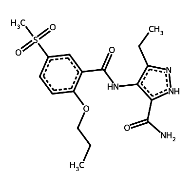 CCCOc1ccc(S(C)(=O)=O)cc1C(=O)Nc1c(CC)n[nH]c1C(N)=O